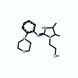 CC1N/C(=N\c2ccccc2N2CCOCC2)N(CCO)C1C